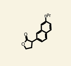 CCCc1ccc2ccc(C3CCOC3=O)cc2c1